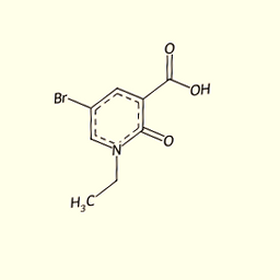 CCn1cc(Br)cc(C(=O)O)c1=O